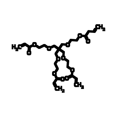 C=CCC(=O)OCCOCC(COCCOC(=O)C=C)(COCCOC(=O)C=C)COCCOC(=O)C=C